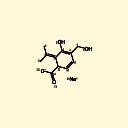 CC(C)=C1C(O)=C(CO)C=CC1C(=O)[O-].[Na+]